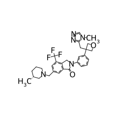 C[C@@H]1CCCN(Cc2cc3c(c(C(F)(F)F)c2)CN(c2cccc(C4(Cc5nncn5C)COC4)c2)C3=O)C1